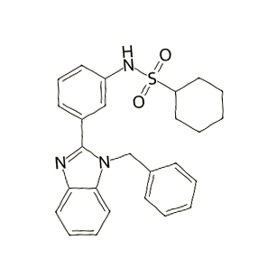 O=S(=O)(Nc1cccc(-c2nc3ccccc3n2Cc2ccccc2)c1)C1CCCCC1